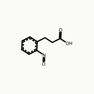 O=Nc1ccccc1CCC(=O)O